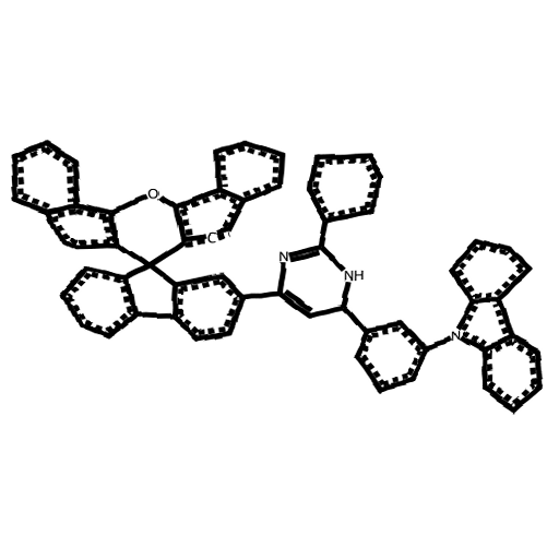 C1=C(c2ccc3c(c2)C2(c4ccccc4-3)c3ccc4ccccc4c3Oc3c2ccc2ccccc32)N=C(c2ccccc2)NC1c1cccc(-n2c3ccccc3c3ccccc32)c1